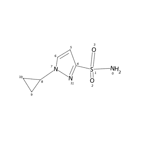 NS(=O)(=O)c1ccn(C2CC2)n1